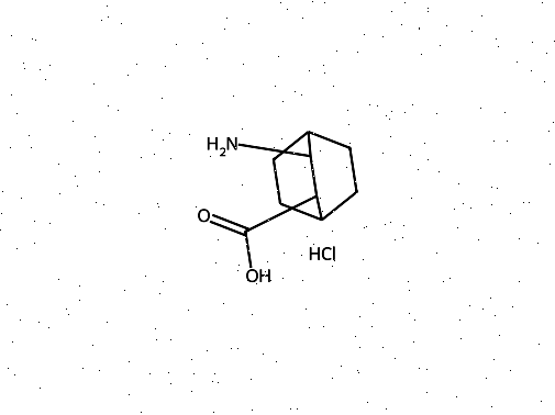 Cl.NC1C2CCC(CC2)C1C(=O)O